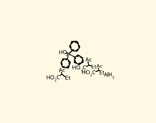 CCC(C(C)=O)C(=O)O.CCC(C(C)=O)C(=O)O.CCC(C(C)=O)C(=O)O.O[Si](c1ccccc1)(c1ccccc1)c1ccccc1.[AlH3]